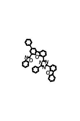 c1ccc(-c2cc(-c3nc4ccccc4o3)c3oc4c(-c5nc(-c6ccccc6)nc(-c6cccc7c6oc6ccccc67)n5)cccc4c3c2)cc1